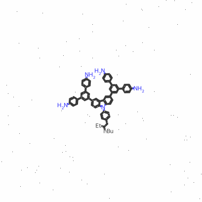 CCCCC(CC)Cc1ccc(-n2c3ccc(-c4cc(-c5ccc(N)cc5)cc(-c5ccc(N)cc5)c4)cc3c3cc(-c4cc(-c5ccc(N)cc5)cc(-c5ccc(N)cc5)c4)ccc32)cc1